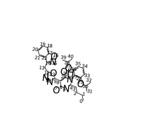 CCCCc1nc(=O)c(-c2nnc(Cc3noc4ccccc34)o2)c(O)n1-c1c(OC(C)C)cccc1OC(C)C